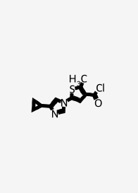 Cc1sc(-n2cnc(C3CC3)c2)cc1C(=O)Cl